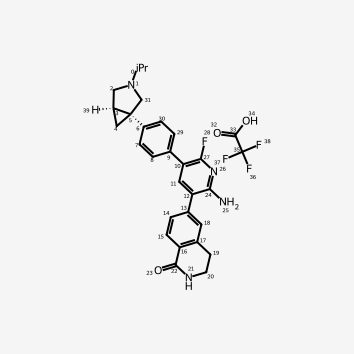 CC(C)N1C[C@@H]2C[C@]2(c2ccc(-c3cc(-c4ccc5c(c4)CCNC5=O)c(N)nc3F)cc2)C1.O=C(O)C(F)(F)F